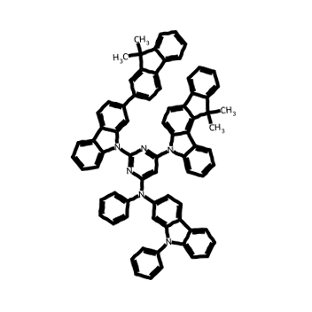 CC1(C)c2ccccc2-c2ccc(-c3ccc4c5ccccc5n(-c5nc(N(c6ccccc6)c6ccc7c8ccccc8n(-c8ccccc8)c7c6)cc(-n6c7ccccc7c7c8c(ccc76)-c6ccccc6C8(C)C)n5)c4c3)cc21